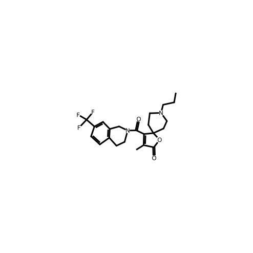 CCCN1CCC2(CC1)OC(=O)C(C)=C2C(=O)N1CCc2ccc(C(F)(F)F)cc2C1